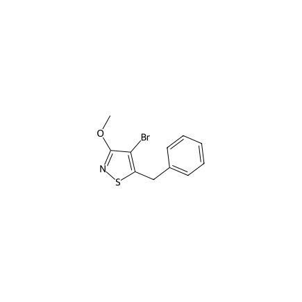 COc1nsc(Cc2ccccc2)c1Br